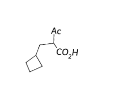 CC(=O)C(CC1CCC1)C(=O)O